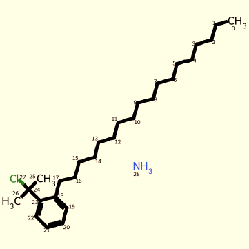 CCCCCCCCCCCCCCCCCCc1ccccc1C(C)(C)Cl.N